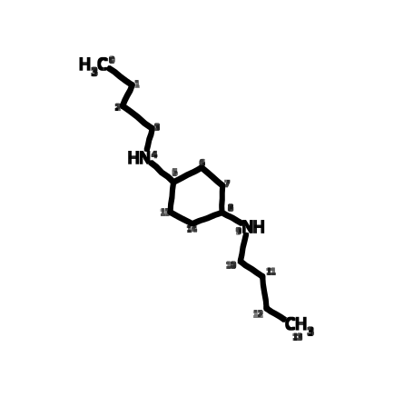 CCCCNC1CCC(NCCCC)CC1